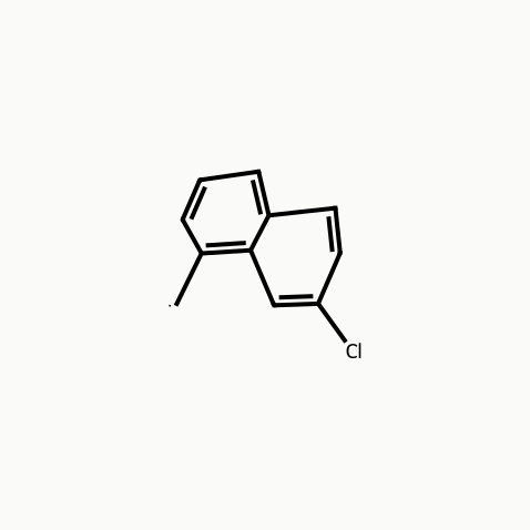 [CH2]c1cccc2ccc(Cl)cc12